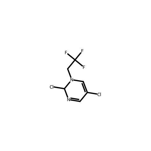 FC(F)(F)CN1C=C(Cl)C=NC1Cl